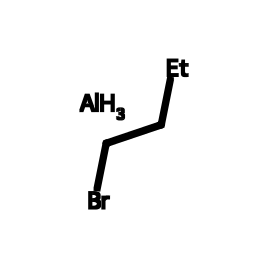 CCCCBr.[AlH3]